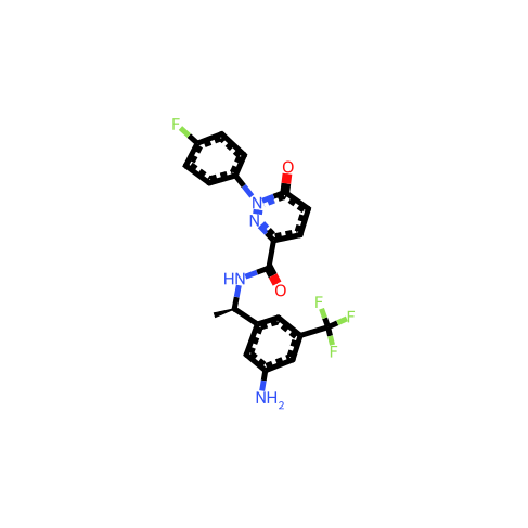 C[C@@H](NC(=O)c1ccc(=O)n(-c2ccc(F)cc2)n1)c1cc(N)cc(C(F)(F)F)c1